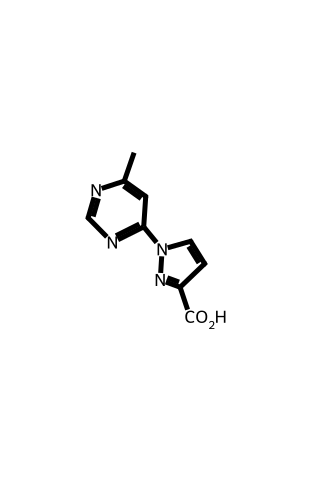 Cc1cc(-n2ccc(C(=O)O)n2)ncn1